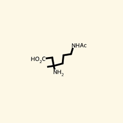 CC(=O)NCCCC(C)(N)CC(=O)O